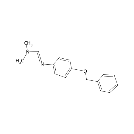 CN(C)C=Nc1ccc(OCc2ccccc2)cc1